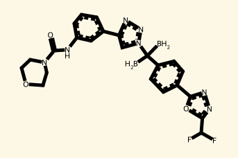 BC(B)(c1ccc(-c2nnc(C(F)F)o2)cc1)n1cc(-c2cccc(NC(=O)N3CCOCC3)c2)nn1